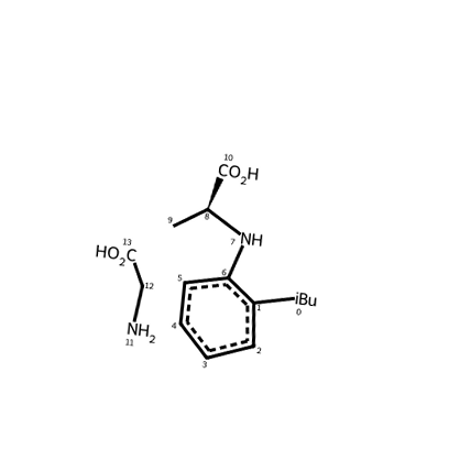 CCC(C)c1ccccc1N[C@@H](C)C(=O)O.NCC(=O)O